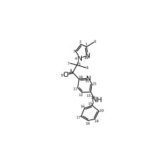 Cc1ccn(C(C)(C)C(=O)c2ccc(Nc3ccccc3)cn2)n1